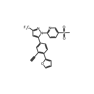 C#Cc1cc(-c2cc(C(F)(F)F)nn2-c2ccc(S(C)(=O)=O)cn2)ccc1-c1ccco1